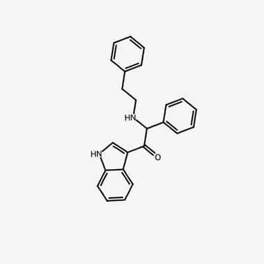 O=C(c1c[nH]c2ccccc12)C(NCCc1ccccc1)c1ccccc1